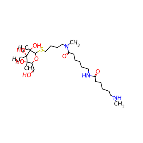 CNCCCCCC(=O)NCCCCCC(=O)N(C)CCCCSC1OC(CO)C(C)(O)C(C)(O)C1(C)O